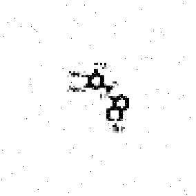 CCCN1CCc2c(cccc2NC(=O)c2cc(OC)c(OC)c(OC)c2)C1